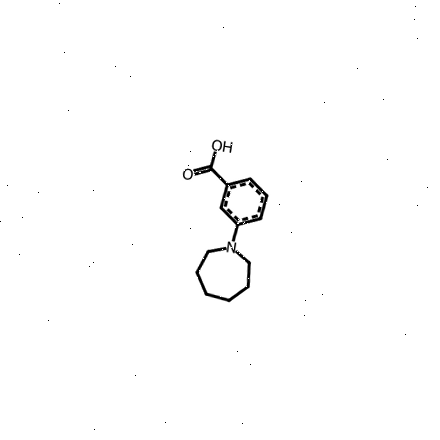 O=C(O)c1cccc(N2CCCCCC2)c1